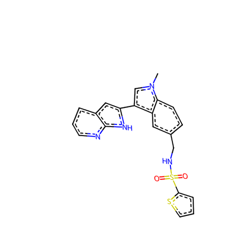 Cn1cc(-c2cc3cccnc3[nH]2)c2cc(CNS(=O)(=O)c3cccs3)ccc21